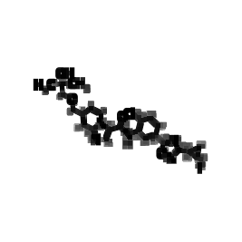 CC(C)(O)COCc1ccn2c(C(=O)Nc3cc(-c4nc([C@H]5C[C@@H]5F)no4)ccc3Cl)cnc2c1